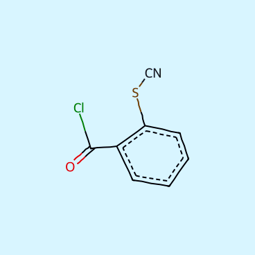 N#CSc1ccccc1C(=O)Cl